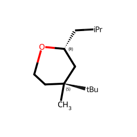 CC(C)C[C@@H]1C[C@@](C)(C(C)(C)C)CCO1